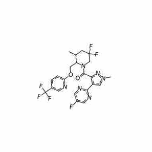 CC1CC(F)(F)CN(C(=O)c2nn(C)cc2-c2ncc(F)cn2)C1COc1ccc(C(F)(F)F)cn1